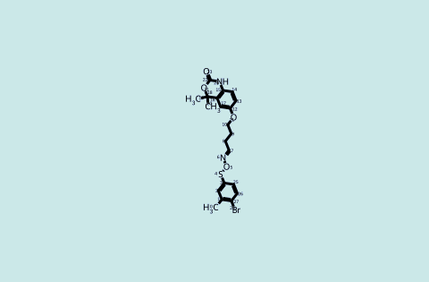 Cc1cc(SON=CCCCOc2ccc3c(c2)C(C)(C)OC(=O)N3)ccc1Br